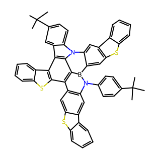 CC(C)(C)c1ccc(N2B3c4cc5sc6ccccc6c5cc4-n4c5ccc(C(C)(C)C)cc5c5c6c(sc7ccccc76)c(c3c54)-c3cc4sc5ccccc5c4cc32)cc1